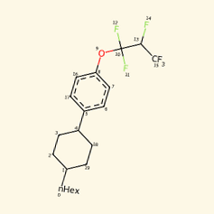 CCCCCCC1CCC(c2ccc(OC(F)(F)C(F)C(F)(F)F)cc2)CC1